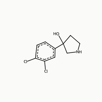 OC1(c2ccc(Cl)c(Cl)c2)CCNC1